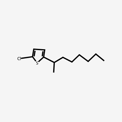 CCCCCCC(C)c1ccc(Cl)s1